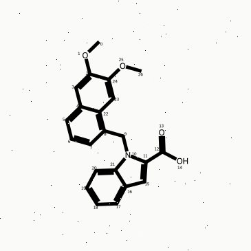 COc1cc2cccc(Cn3c(C(=O)O)cc4ccccc43)c2cc1OC